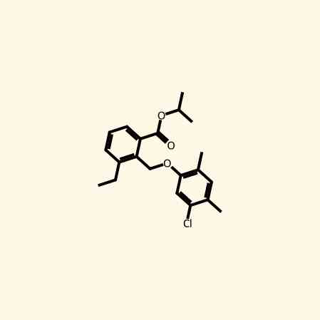 CCc1cccc(C(=O)OC(C)C)c1COc1cc(Cl)c(C)cc1C